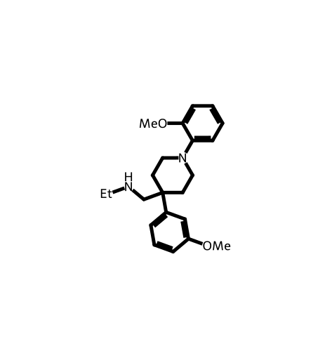 CCNCC1(c2cccc(OC)c2)CCN(c2ccccc2OC)CC1